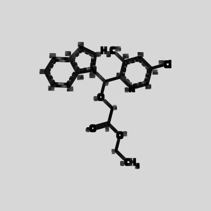 CCOC(=O)COC(c1ncc(Cl)cc1C)n1ccc2ccccc21